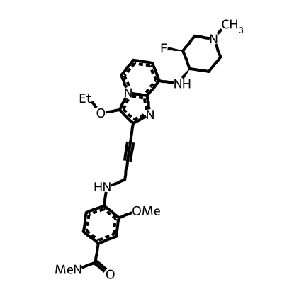 CCOc1c(C#CCNc2ccc(C(=O)NC)cc2OC)nc2c(N[C@@H]3CCN(C)C[C@@H]3F)cccn12